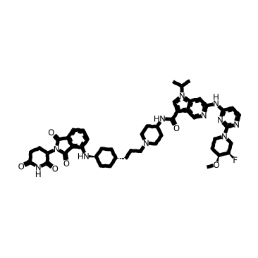 CO[C@H]1CCN(c2nccc(Nc3cc4c(cn3)c(C(=O)NC3CCN(CCC[C@H]5CC[C@H](Nc6cccc7c6C(=O)N(C6CCC(=O)NC6=O)C7=O)CC5)CC3)cn4C(C)C)n2)C[C@H]1F